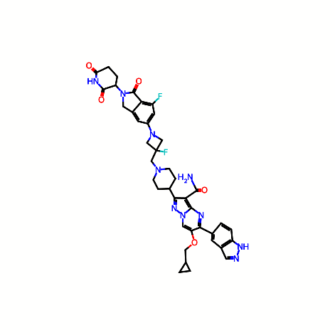 NC(=O)c1c(C2CCN(CC3(F)CN(c4cc(F)c5c(c4)CN(C4CCC(=O)NC4=O)C5=O)C3)CC2)nn2cc(OCC3CC3)c(-c3ccc4[nH]ncc4c3)nc12